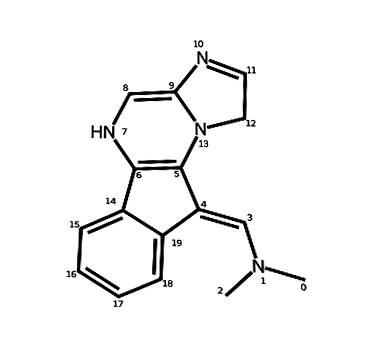 CN(C)C=C1C2=C(NC=C3N=CCN32)c2ccccc21